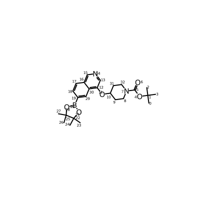 CC(C)(C)OC(=O)N1CCC(Oc2cncc3ccc(B4OC(C)(C)C(C)(C)O4)cc23)CC1